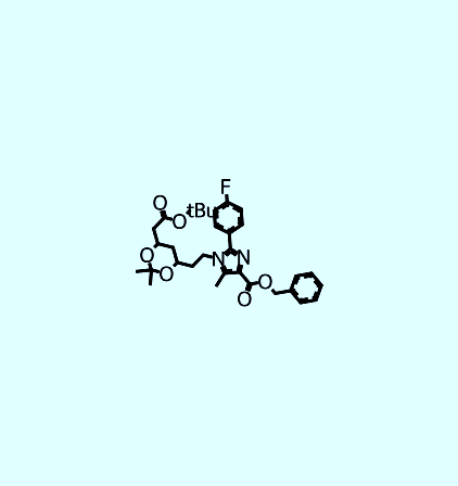 Cc1c(C(=O)OCc2ccccc2)nc(-c2ccc(F)cc2)n1CCC1CC(CC(=O)OC(C)(C)C)OC(C)(C)O1